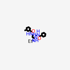 CCNc1cc(NC(=O)c2cccc(C)c2)nc(NC(=O)c2ccccc2)n1